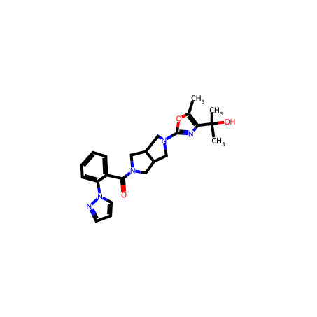 Cc1oc(N2CC3CN(C(=O)c4ccccc4-n4cccn4)CC3C2)nc1C(C)(C)O